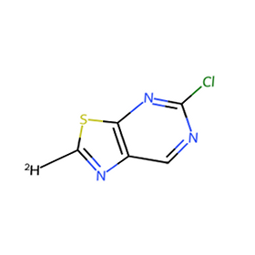 [2H]c1nc2cnc(Cl)nc2s1